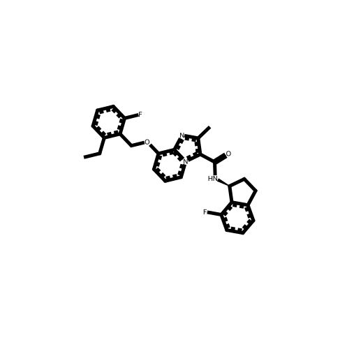 CCc1cccc(F)c1COc1cccn2c(C(=O)N[C@H]3CCc4cccc(F)c43)c(C)nc12